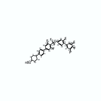 CCCCC1CCC(c2ccc(-c3cc(F)c(C(F)(F)Oc4ccc(-c5cc(F)c(F)c(F)c5)c(F)c4)c(F)c3)cc2)CC1